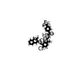 Cc1nc2ccccc2cc1OCc1c(Cl)ccc(N(C)C(=O)CNC(=O)c2ccc(C(F)(F)F)cc2)c1Cl